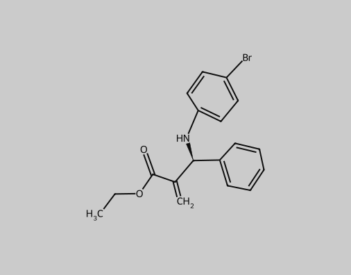 C=C(C(=O)OCC)[C@@H](Nc1ccc(Br)cc1)c1ccccc1